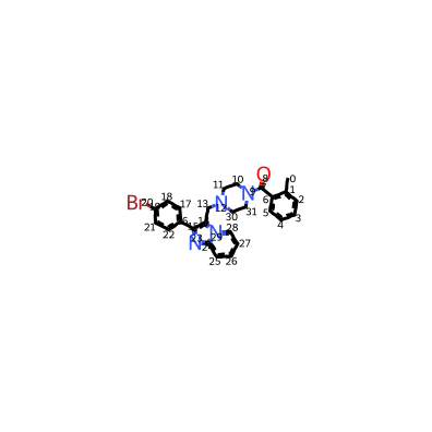 Cc1ccccc1C(=O)N1CCN(Cc2c(-c3ccc(Br)cc3)nc3ccccn23)CC1